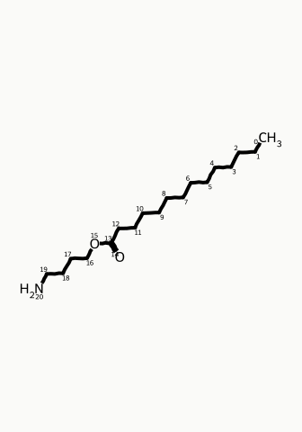 CCCCCCCCCCCCCC(=O)OCCCCN